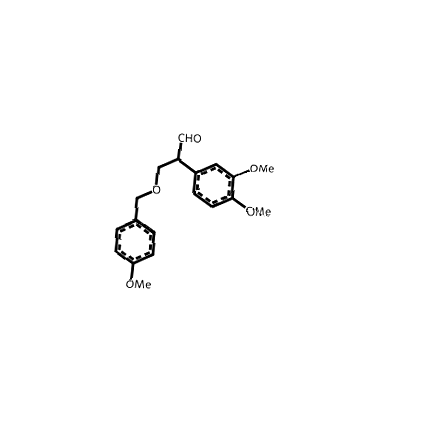 COc1ccc(COCC(C=O)c2ccc(OC)c(OC)c2)cc1